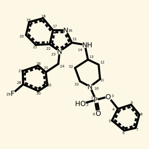 O=P(O)(Oc1ccccc1)N1CCC(Nc2nc3ccccc3n2Cc2ccc(F)cc2)CC1